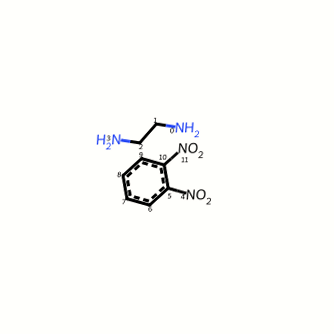 NCCN.O=[N+]([O-])c1ccccc1[N+](=O)[O-]